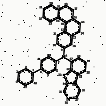 c1ccc(-c2ccc(N(c3ccc4c(ccc5ccc6ccccc6c54)c3)c3cccc4c3sc3cnccc34)cc2)cc1